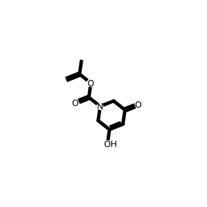 C=C(C)OC(=O)N1CC(=O)C=C(O)C1